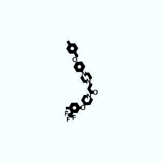 Cc1ccc(COc2ccc(N3CCN(CCC(=O)N4CCC(Oc5ccc(C)c(C(F)(F)F)c5)CC4)CC3)cc2)cc1